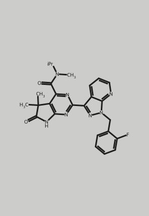 CC(C)N(C)C(=O)c1nc(-c2nn(Cc3ccccc3F)c3ncccc23)nc2c1C(C)(C)C(=O)N2